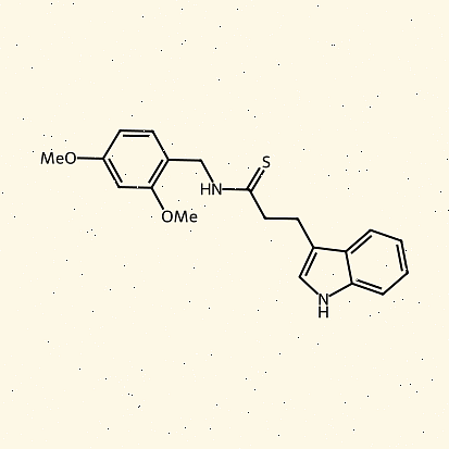 COc1ccc(CNC(=S)CCc2c[nH]c3ccccc23)c(OC)c1